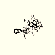 CNC(C(=O)N[C@H](C(=O)N(C)[C@H](/C=C(\C)C(=O)O)C(C)C)C(C)(C)C)C(C)(C)c1cc2ccccc2s1